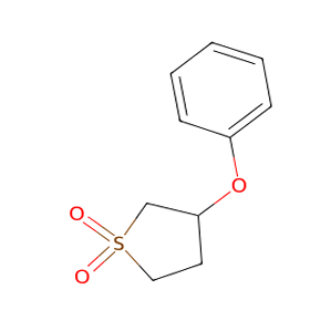 O=S1(=O)CCC(Oc2ccccc2)C1